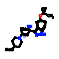 CN/C(=C\C(=N)c1n[nH]c2ccc(OC3(C)CC3)cc12)N1CCC(OC)CC1